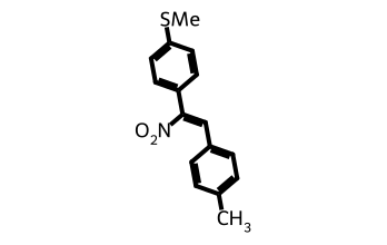 CSc1ccc(C(=Cc2ccc(C)cc2)[N+](=O)[O-])cc1